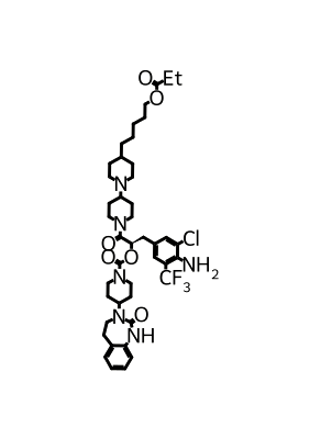 CCC(=O)OCCCCCC1CCN(C2CCN(C(=O)[C@@H](Cc3cc(Cl)c(N)c(C(F)(F)F)c3)OC(=O)N3CCC(N4CCc5ccccc5NC4=O)CC3)CC2)CC1